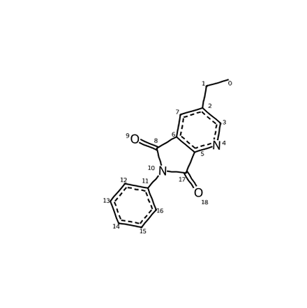 CCc1cnc2c(c1)C(=O)N(c1ccccc1)C2=O